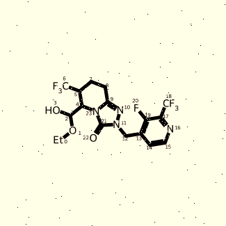 CCOC(O)C1C(C(F)(F)F)CCc2nn(Cc3ccnc(C(F)(F)F)c3F)c(=O)n21